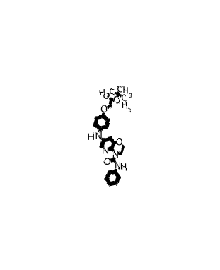 CC(C)(C)OC(=O)COc1ccc(Nc2cnc3c(c2)OCCN3C(=O)Nc2ccccc2)cc1